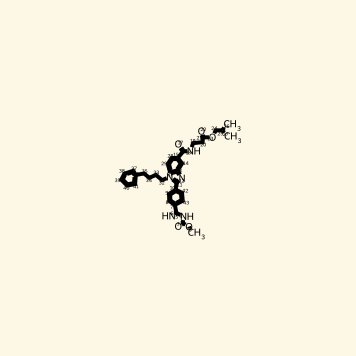 COC(=O)NC(=N)c1ccc(-c2nc3cc(C(=O)NCCC(=O)OCC(C)C)ccc3n2CCCCc2ccccc2)cc1